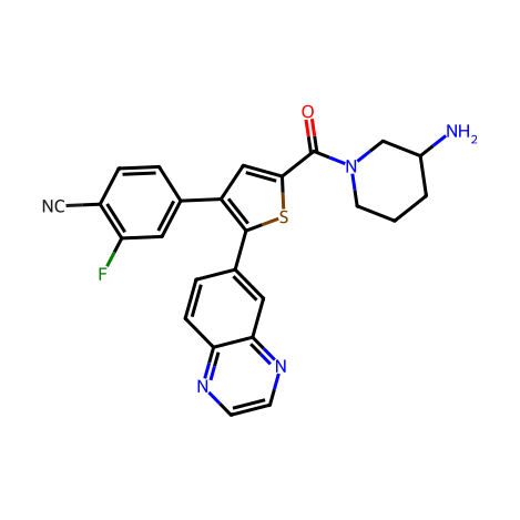 N#Cc1ccc(-c2cc(C(=O)N3CCCC(N)C3)sc2-c2ccc3nccnc3c2)cc1F